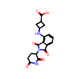 O=C1CCC(N2C(=O)c3cccc(NC4CC(C(=O)O)C4)c3C2=O)C(=O)N1